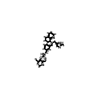 Cc1ncc(CN(Cc2cccc(CNC(=O)Oc3c(C)ncnc3C)c2)C2CCCc3cccnc32)[nH]1